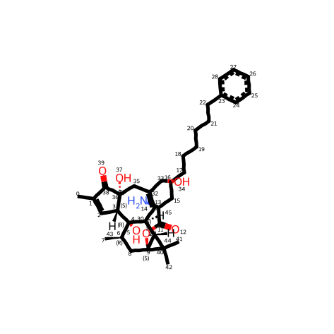 CC1=C[C@H]2[C@@]3(O)[C@H](C)C[C@]4(OC(=O)C(N)CCCCCCCCc5ccccc5)[C@H]([C@@H]3C=C(CO)C[C@]2(O)C1=O)C4(C)C